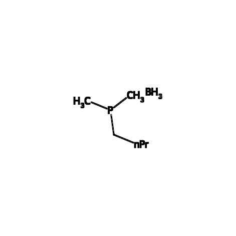 B.CCCCP(C)C